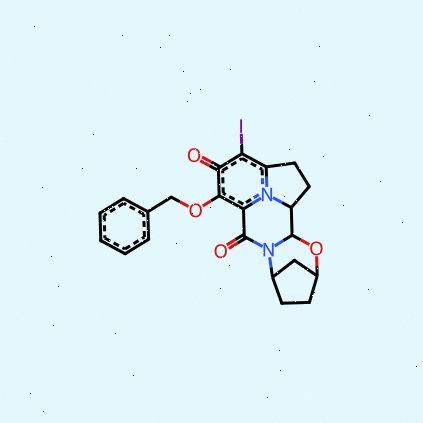 O=C1c2c(OCc3ccccc3)c(=O)c(I)c3n2C(CC3)C2OC3CCC(C3)N12